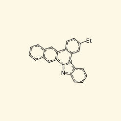 CCc1ccc2c3cc4ccccc4cc3c3nc4ccccc4n3c2c1